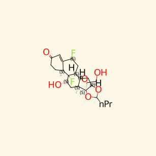 CCCC1O[C@@H]2C[C@H]3[C@@H]4C[C@H](F)C5=CC(=O)CC[C@]5(C)C4(F)[C@@H](O)C[C@]3(C)[C@]2(C(=O)CO)O1